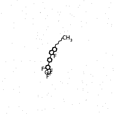 CCCCCCc1ccc2c(F)c(-c3ccc(-c4cc(F)c(OC(F)F)c(F)c4)cc3)ccc2c1